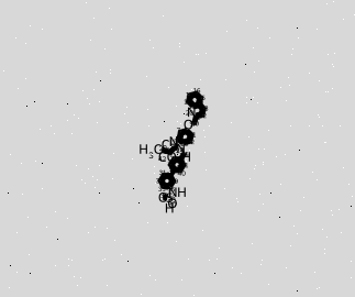 CC(C)(Cc1nc2cc(OCc3ccc4ccccc4n3)ccc2n1Cc1ccc(-c2cccc(N[SH](=O)=O)c2)cc1)C(=O)O